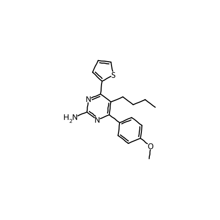 CCCCc1c(-c2ccc(OC)cc2)nc(N)nc1-c1cccs1